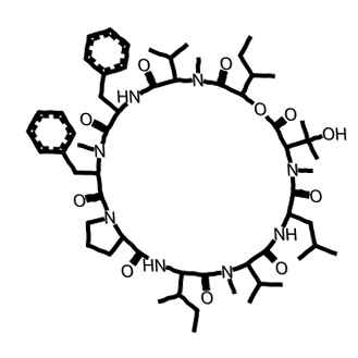 CCC(C)C1NC(=O)C2CCCN2C(=O)C(Cc2ccccc2)N(C)C(=O)C(Cc2ccccc2)NC(=O)C(C(C)C)N(C)C(=O)C(C(C)CC)OC(=O)C(C(C)(C)O)N(C)C(=O)C(CC(C)C)NC(=O)C(C(C)C)N(C)C1=O